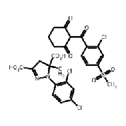 CC1(C(=O)O)CC(C(=O)O)=NN1c1ccc(Cl)cc1Cl.CS(=O)(=O)c1ccc(C(=O)C2C(=O)CCCC2=O)c(Cl)c1